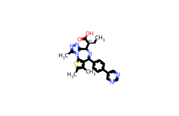 CC[C@H](C(=O)O)C1N=C(c2ccc(-c3cncnc3)cc2)c2c(sc(C)c2C)-n2c(C)nnc21